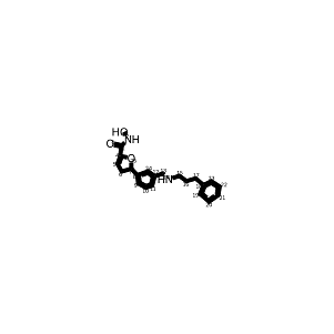 O=C(NO)C1=CCC(c2cccc(CNCCCc3ccccc3)c2)O1